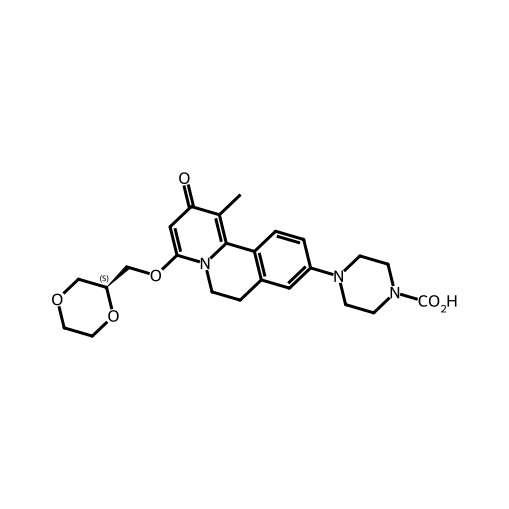 Cc1c2n(c(OC[C@@H]3COCCO3)cc1=O)CCc1cc(N3CCN(C(=O)O)CC3)ccc1-2